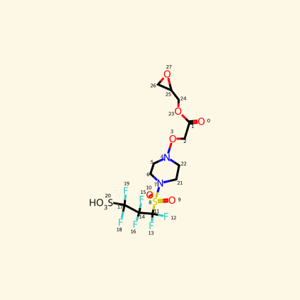 O=C(CON1CCN(S(=O)(=O)C(F)(F)C(F)(F)C(F)(F)S(=O)(=O)O)CC1)OCC1CO1